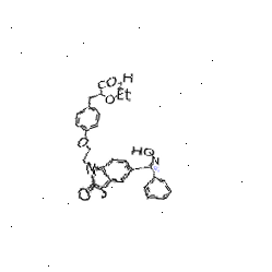 CCOC(Cc1ccc(OCCn2c(=O)sc3cc(/C(=N\O)c4ccccc4)ccc32)cc1)C(=O)O